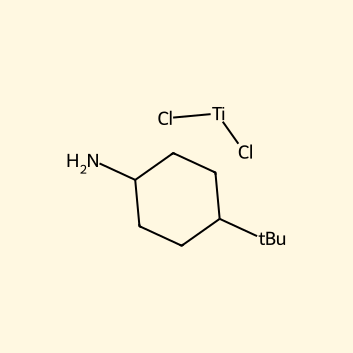 CC(C)(C)C1CCC(N)CC1.[Cl][Ti][Cl]